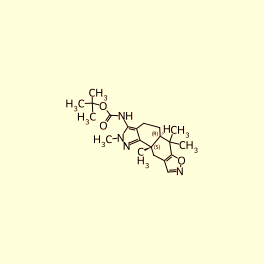 Cn1nc2c(c1NC(=O)OC(C)(C)C)CC[C@H]1C(C)(C)c3oncc3C[C@]21C